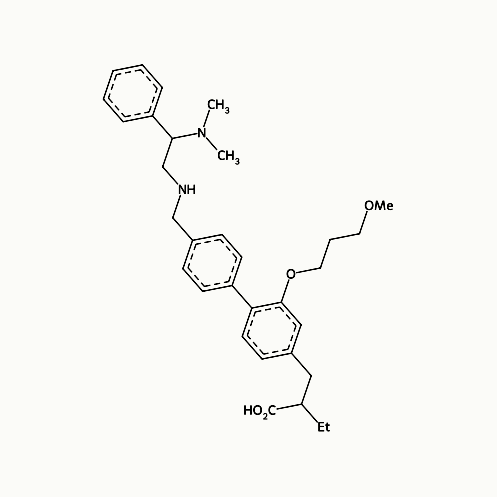 CCC(Cc1ccc(-c2ccc(CNCC(c3ccccc3)N(C)C)cc2)c(OCCCOC)c1)C(=O)O